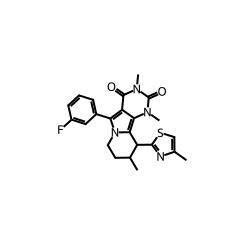 Cc1csc(C2c3c4c(c(-c5cccc(F)c5)n3CCC2C)c(=O)n(C)c(=O)n4C)n1